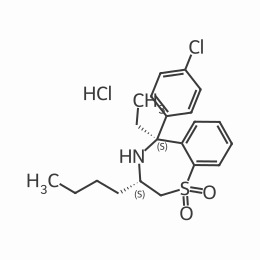 CCCC[C@H]1CS(=O)(=O)c2ccccc2[C@](CC)(c2ccc(Cl)cc2)N1.Cl